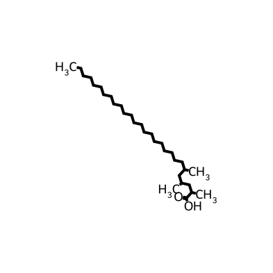 CCCCCCCCCCCCCCCCCCCCCCC(C)CC(C)CC(C)C(=O)O